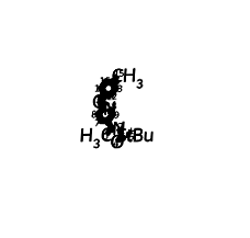 CC(=N[S+]([O-])C(C)(C)C)c1ccc(Oc2ccc(C)cc2)nc1